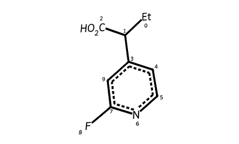 CCC(C(=O)O)c1ccnc(F)c1